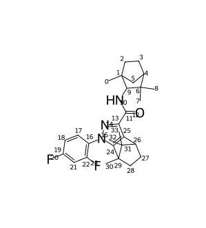 CC12CCC(C1)C(C)(C)C2NC(=O)c1nn(-c2ccc(F)cc2F)c2c1C1CCC2(C)C1(C)C